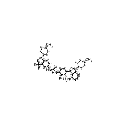 CN1CCC(n2nc(-c3ccc(NC(=O)Nc4ccc(CN5CCN(C)CC5)c(C(F)(F)F)c4)c(F)c3)c3c(N)ncnc32)CC1